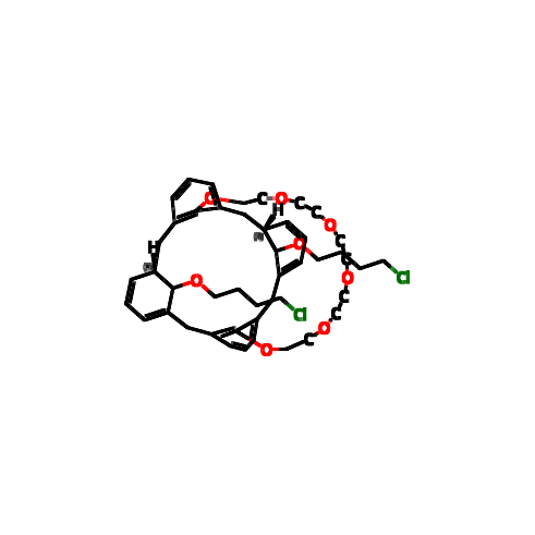 ClCCCCOC1C2=CC=C[C@@H]1Cc1cccc3c1OCCOCCOCCOCCOCCOc1c(cccc1CC1=CC=C[C@@H](C3)C1OCCCCCl)C2